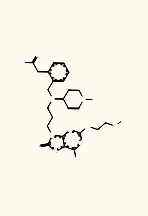 COCCOc1nc(N)c2[nH]c(=O)n(CCCN(Cc3ccccc3CC(=O)O)C3CCN(C)CC3)c2n1